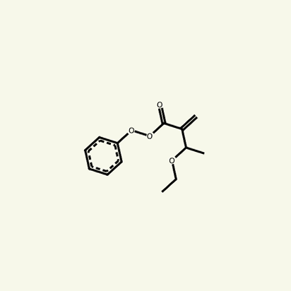 C=C(C(=O)OOc1ccccc1)C(C)OCC